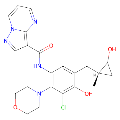 C[C@]1(Cc2cc(NC(=O)c3cnn4cccnc34)c(N3CCOCC3)c(Cl)c2O)CC1O